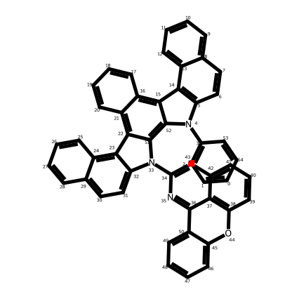 c1ccc(-n2c3ccc4ccccc4c3c3c4ccccc4c4c5c6ccccc6ccc5n(-c5nc6c7c(cccc7n5)Oc5ccccc5-6)c4c32)cc1